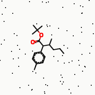 CCCC(C)C(C(=O)OC(C)(C)C)c1ccc(C)cc1